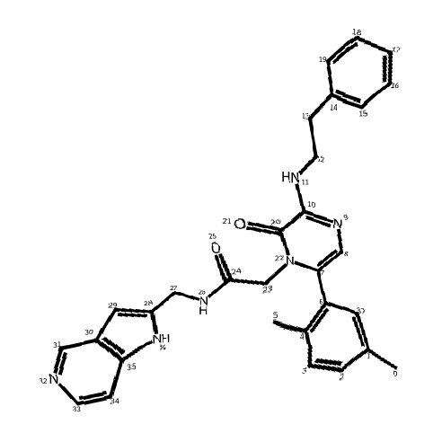 Cc1ccc(C)c(-c2cnc(NCCc3ccccc3)c(=O)n2CC(=O)NCc2cc3cnccc3[nH]2)c1